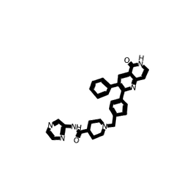 O=C(Nc1cnccn1)C1CCN(Cc2ccc(-c3nc4cc[nH]c(=O)c4cc3-c3ccccc3)cc2)CC1